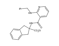 CCOC(=O)C1(NC(=O)c2cccnc2NCC(C)C)Cc2ccccc2C1